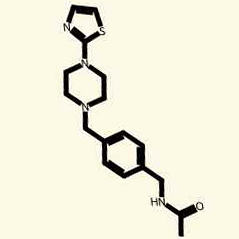 CC(=O)NCc1ccc(CN2CCN(c3nccs3)CC2)cc1